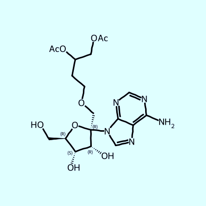 CC(=O)OCC(CCOC[C@@]1(n2cnc3c(N)ncnc32)O[C@H](CO)[C@@H](O)[C@H]1O)OC(C)=O